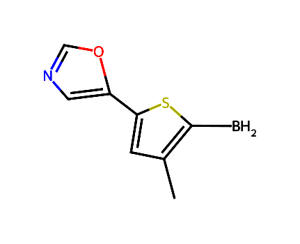 Bc1sc(-c2cnco2)cc1C